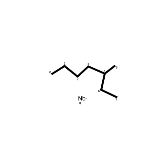 CCCCC(C)CC.[Nb]